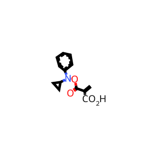 C=C(C(=O)O)C(=O)ON(c1ccccc1)C1CC1